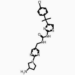 CC(C)(c1ccc(Cl)cc1)c1csc(NC(=O)NCc2cnc(N3CCC(N)C3)nc2)n1